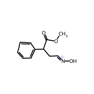 COC(=O)C(C/C=N/O)c1ccccc1